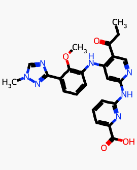 CCC(=O)c1cnc(Nc2cccc(C(=O)O)n2)cc1Nc1cccc(-c2ncn(C)n2)c1OC